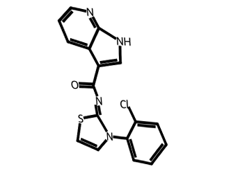 O=C(/N=c1\sccn1-c1ccccc1Cl)c1c[nH]c2ncccc12